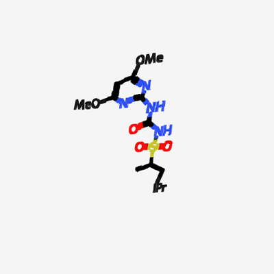 COc1cc(OC)nc(NC(=O)NS(=O)(=O)C(C)CC(C)C)n1